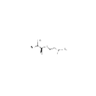 CN(I)CCOC(=O)C(C(C)(C)C)C(C)(C)C